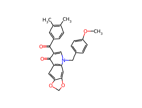 COc1ccc(Cn2cc(C(=O)c3ccc(C)c(C)c3)c(=O)c3cc4c(cc32)OCO4)cc1